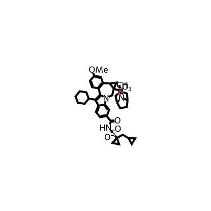 COc1ccc2c(c1)C1CC1(C(=O)N1C3CCC1CN(C)C3)Cn1c-2c(C2CCCCC2)c2ccc(C(=O)NS(=O)(=O)C3(CC4CC4)CC3)cc21